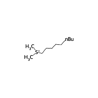 CCCCCCCCC[S+](C)C